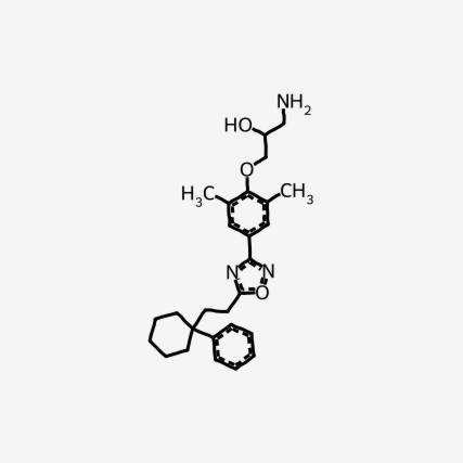 Cc1cc(-c2noc(CCC3(c4ccccc4)CCCCC3)n2)cc(C)c1OCC(O)CN